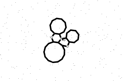 O=P12C3CCCCCCCCC3OC3CCCCCCCCCCC(OC4CCCCCCC41)C32